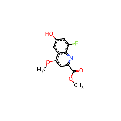 COC(=O)c1cc(OC)c2cc(O)cc(F)c2n1